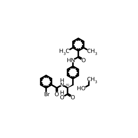 CCO.Cc1cccc(C)c1C(=O)Nc1ccc(C[C@H](NC(=O)c2ccccc2Br)C(=O)O)cc1